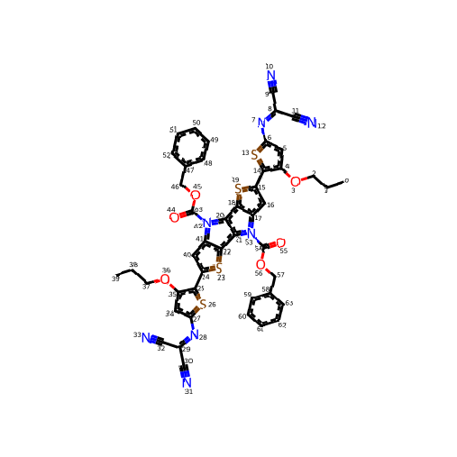 CCCOc1cc(N=C(C#N)C#N)sc1-c1cc2c(s1)c1c(c3sc(-c4sc(N=C(C#N)C#N)cc4OCCC)cc3n1C(=O)OCc1ccccc1)n2C(=O)OCc1ccccc1